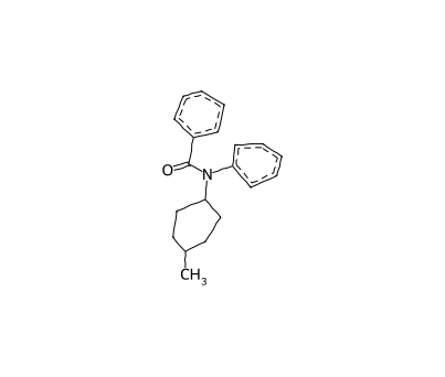 CC1CCC(N(C(=O)c2ccccc2)c2ccccc2)CC1